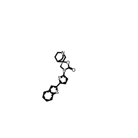 O=C1O[C@]2(CN3CCC2CC3)CN1c1ccc(-c2cc3ccccc3s2)s1